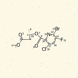 COC(=O)C[C@H](C)OC(=O)c1nc(Br)c(F)cc1Cl